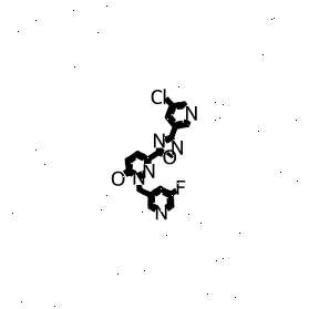 O=c1ccc(-c2nc(-c3cncc(Cl)c3)no2)nn1Cc1cncc(F)c1